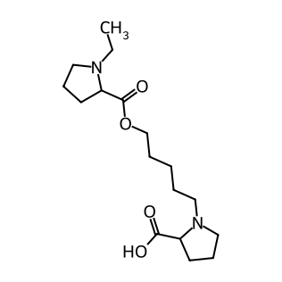 CCN1CCCC1C(=O)OCCCCCN1CCCC1C(=O)O